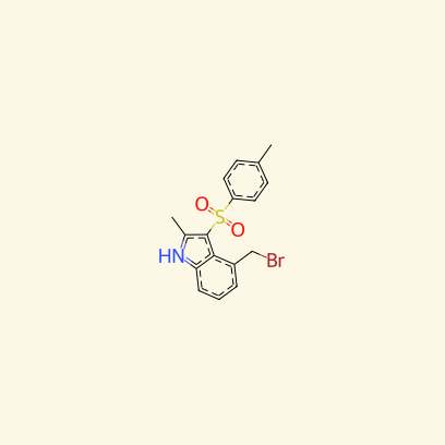 Cc1ccc(S(=O)(=O)c2c(C)[nH]c3cccc(CBr)c23)cc1